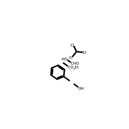 CCOC(C)=O.CO.Cc1ccccc1.ClC(Cl)Cl.O=CO